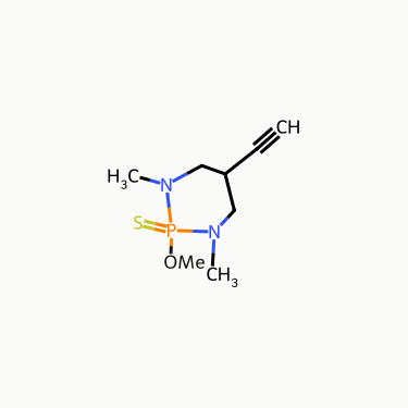 C#CC1CN(C)P(=S)(OC)N(C)C1